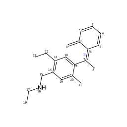 C=c1cccc/c1=C(\C)c1cc(CC)c(CNCC)cc1C